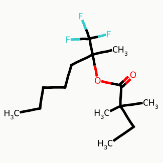 CCCCCC(C)(OC(=O)C(C)(C)CC)C(F)(F)F